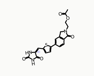 CC(=O)OCCN1Cc2cc(-c3ccc(/C=C4/NC(=O)NC4=O)s3)ccc2C1=O